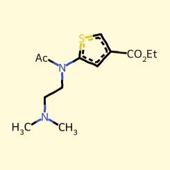 CCOC(=O)c1csc(N(CCN(C)C)C(C)=O)c1